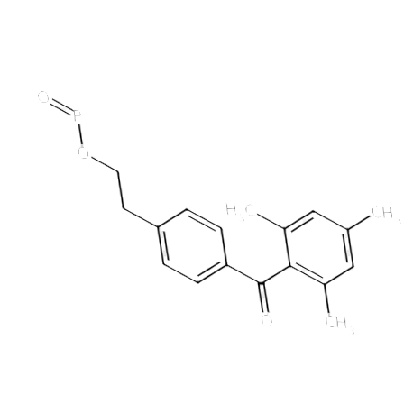 Cc1cc(C)c(C(=O)c2ccc(CCOP=O)cc2)c(C)c1